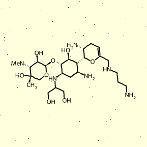 CN[C@@H]1[C@@H](O)[C@@H](O[C@H]2[C@H](NC(CO)CO)C[C@H](N)C([C@H]3OC(CNCCCN)=CC[C@H]3N)[C@@H]2O)OC[C@]1(C)O